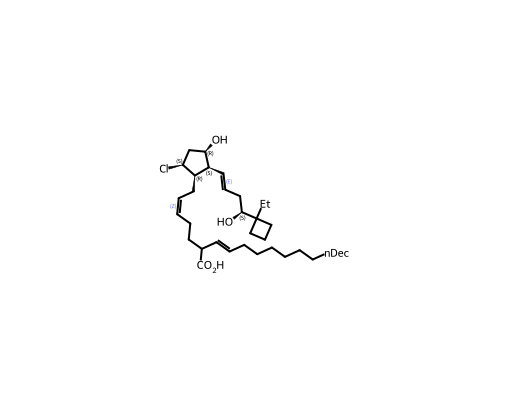 CCCCCCCCCCCCCCCCC=CC(CC/C=C\C[C@@H]1[C@H](/C=C/C[C@H](O)C2(CC)CCC2)[C@H](O)C[C@@H]1Cl)C(=O)O